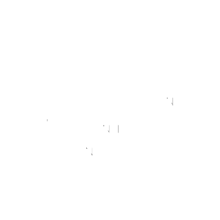 N#Cc1cc(-c2cc3c(Cl)ccnc3[nH]2)ccc1F